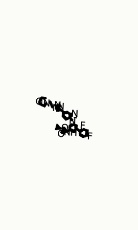 O=S(=O)(Nc1cc(-c2ccc(F)cc2F)cc(-n2cnc3cc(-c4cn(CCN5CCOCC5)nn4)ccc32)c1)C1CC1